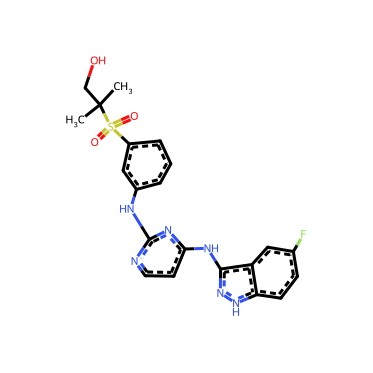 CC(C)(CO)S(=O)(=O)c1cccc(Nc2nccc(Nc3n[nH]c4ccc(F)cc34)n2)c1